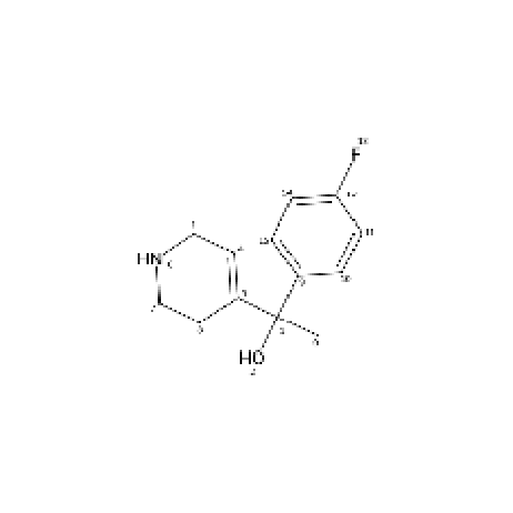 CC(O)(C1=CCNCC1)c1ccc(F)cc1